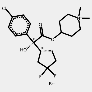 C[N+]1(C)CCC(OC(=O)[C@](O)(c2ccc(Cl)cc2)[C@@H]2CCC(F)(F)C2)CC1.[Br-]